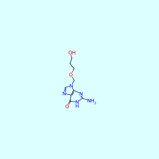 Nc1nc2c(ncn2COCCCO)c(=O)[nH]1